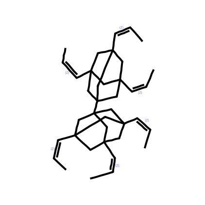 C/C=C\C12CC3(/C=C\C)CC(/C=C\C)(C1)CC(C14CC5(/C=C\C)CC(/C=C\C)(CC(/C=C\C)(C5)C1)C4)(C2)C3